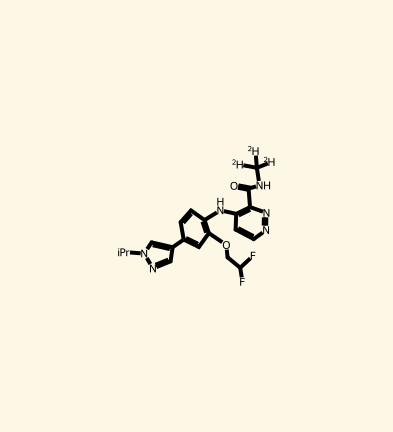 [2H]C([2H])([2H])NC(=O)c1nnccc1Nc1ccc(-c2cnn(C(C)C)c2)cc1OCC(F)F